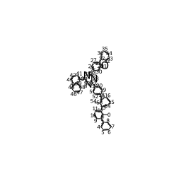 Cc1c(-c2ccccc2)cccc1-c1cccc(-c2ccc(-c3nc(-c4ccc5c(c4)oc4ccccc45)nc(-c4cccc5ccccc45)n3)cc2)c1C